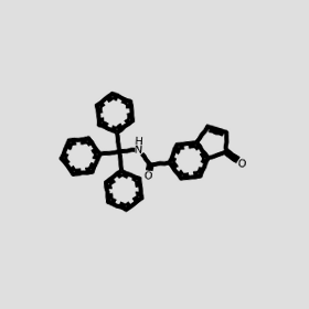 O=C(NC(c1ccccc1)(c1ccccc1)c1ccccc1)c1ccc2c(c1)C=CC2=O